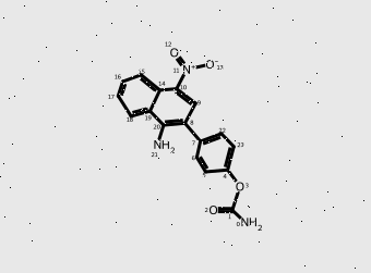 NC(=O)Oc1ccc(-c2cc([N+](=O)[O-])c3ccccc3c2N)cc1